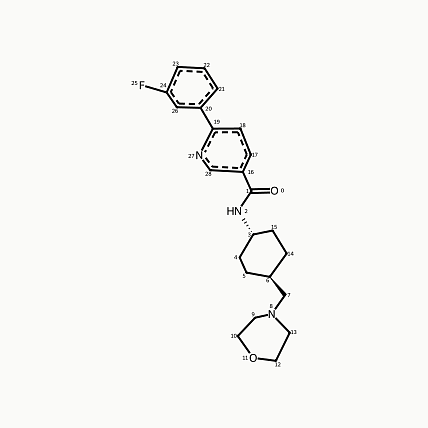 O=C(N[C@H]1CC[C@H](CN2CCOCC2)CC1)c1ccc(-c2cccc(F)c2)nc1